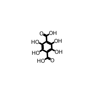 O=C(O)c1c(O)c(O)c(C(=O)O)c(O)c1O